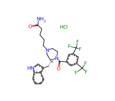 Cl.NC(=O)CCCCN1CCN(C(=O)c2cc(C(F)(F)F)cc(C(F)(F)F)c2)[C@H](Cc2c[nH]c3ccccc23)C1